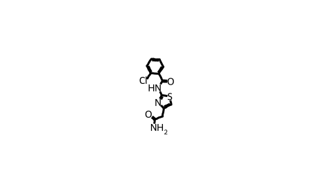 NC(=O)Cc1csc(NC(=O)c2ccccc2Cl)n1